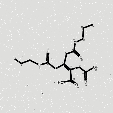 CCCOC(=O)CC(CC(=O)OCCC)=C(CC(=O)O)C(=O)O